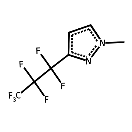 Cn1ccc(C(F)(F)C(F)(F)C(F)(F)F)n1